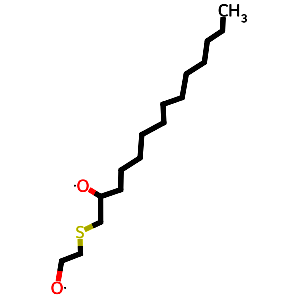 CCCCCCCCCCCCC([O])CSCC[O]